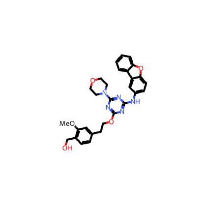 COc1cc(CCOc2nc(Nc3ccc4oc5ccccc5c4c3)nc(N3CCOCC3)n2)ccc1CO